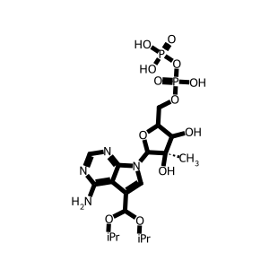 CC(C)OC(OC(C)C)c1cn(C2OC(COP(=O)(O)OP(=O)(O)O)C(O)[C@@]2(C)O)c2ncnc(N)c12